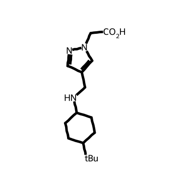 CC(C)(C)C1CCC(NCc2cnn(CC(=O)O)c2)CC1